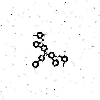 Fc1ccc(F)c(Cn2c3ccccc3c3cc(N(c4ccc(-c5ccccc5)cc4)c4ccc5c(c4)c4ccccc4n5Cc4cc(F)ccc4F)ccc32)c1